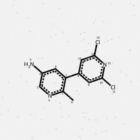 Cc1ncc(N)cc1-c1cc(Cl)nc(Cl)c1